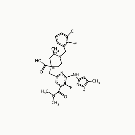 Cc1cc(Nc2nc(C[C@@]3(C(=O)O)CCN(Cc4cccc(Cl)c4F)[C@H](C)C3)cc(C(=O)N(C)C)c2F)n[nH]1